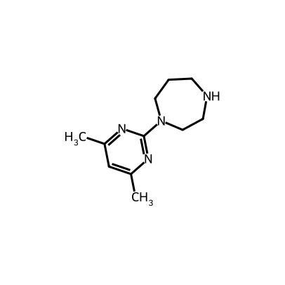 Cc1cc(C)nc(N2CCCNCC2)n1